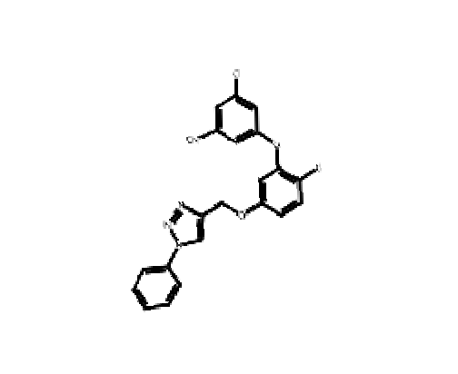 [C-]#[N+]c1cc(Cl)cc(Oc2cc(OCc3cn(-c4ccccc4)nn3)ccc2Cl)c1